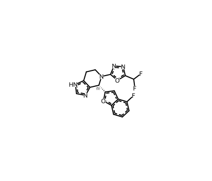 Fc1cccc2oc([C@@H]3c4nc[nH]c4CCN3c3nnc(C(F)F)o3)cc12